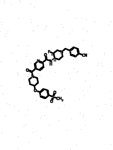 CS(=O)(=O)c1ccc(OC2CCN(C(=O)c3ccc(C(=O)N[C@H]4CCN(Cc5ccc(C#N)cc5)C[C@@H]4F)nc3)CC2)cc1